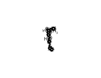 Cn1c(=O)c(=Cc2ccc(C(=O)Nc3ccc(CCN4CCc5ccccc5C4)cc3)cc2)[nH]c(=O)c1=Cc1ccccc1